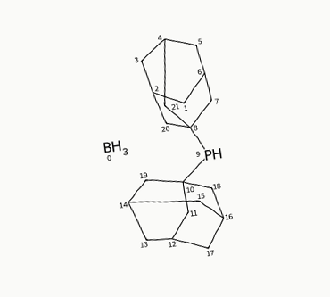 B.C1C2CC3CC1CC(PC14CC5CC(CC(C5)C1)C4)(C2)C3